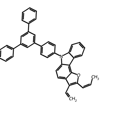 C=Cc1c(/C=C\C)oc2c1ccc1c2c2ccccc2n1-c1ccc(-c2cc(-c3ccccc3)cc(-c3ccccc3)c2)cc1